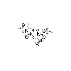 COC(=O)C1CN(C(=O)N2CCOCC2)CCN1C(=O)OC(C)(C)C